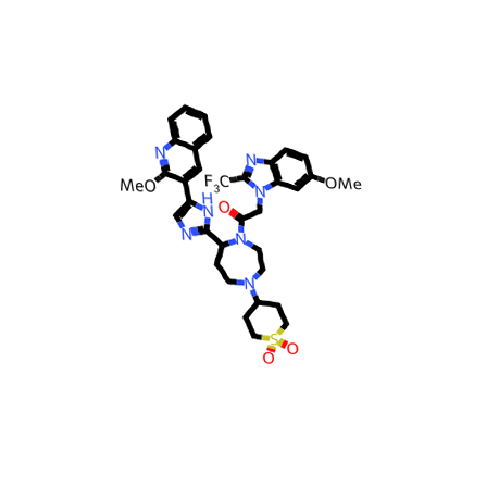 COc1ccc2nc(C(F)(F)F)n(CC(=O)N3CCN(C4CCS(=O)(=O)CC4)CCC3c3ncc(-c4cc5ccccc5nc4OC)[nH]3)c2c1